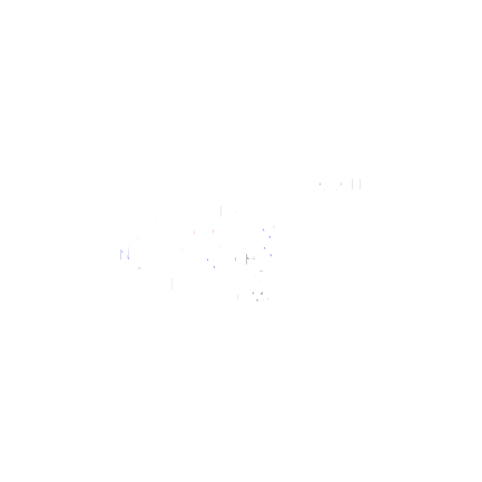 COC(C)(C)CN(CC(=O)c1c(Cl)cncc1Cl)C(=O)c1cnn([C@H]2CC[C@H](C(=O)O)CC2)c1C(F)(F)F